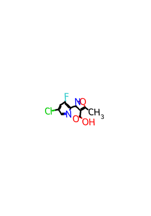 Cc1onc(-c2ncc(Cl)cc2F)c1C(=O)O